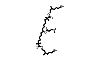 CC(C)CCCC(C)CCOC(=O)C(C)(C)CCCCCC(CCCCCC(C)(C)C(=O)OCCC(C)CCCC(C)C)OC(=O)CCN(C)C